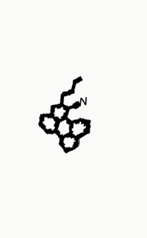 C=CC=Cc1cc2cccc3c4cccc5cccc(c(c1C#N)c23)c54